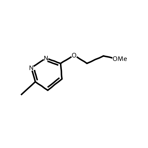 COCCOc1ccc(C)nn1